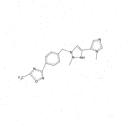 CN1NC(c2cncn2C)=CN1Cc1ccc(-c2noc(C(F)(F)F)n2)cc1